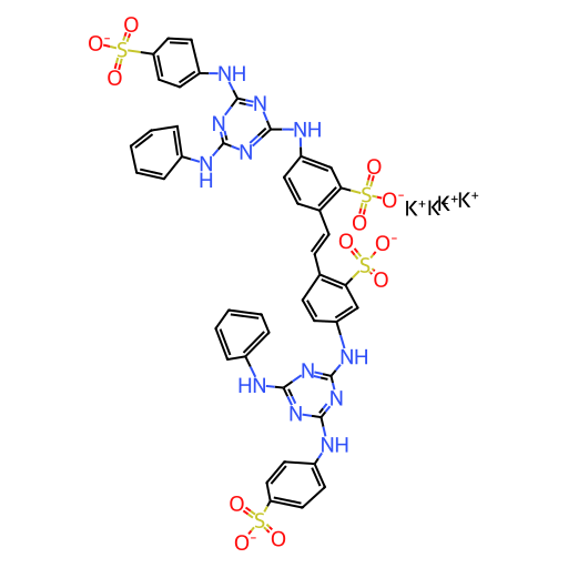 O=S(=O)([O-])c1ccc(Nc2nc(Nc3ccccc3)nc(Nc3ccc(C=Cc4ccc(Nc5nc(Nc6ccccc6)nc(Nc6ccc(S(=O)(=O)[O-])cc6)n5)cc4S(=O)(=O)[O-])c(S(=O)(=O)[O-])c3)n2)cc1.[K+].[K+].[K+].[K+]